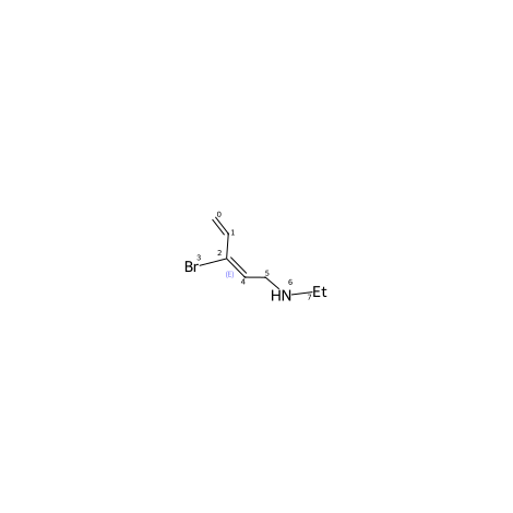 C=C/C(Br)=C\CNCC